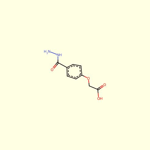 NNC(=O)c1ccc(OCC(=O)O)cc1